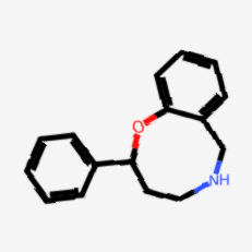 c1ccc(C2CCNCc3ccccc3O2)cc1